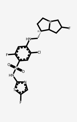 O=S(=O)(Nc1ncc(F)s1)c1cc(Cl)c(NC[C@@H]2CCN3CC(F)CC23)cc1F